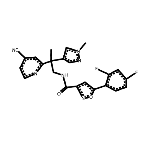 Cn1cc(C(C)(CNC(=O)c2cc(-c3ccc(F)cc3F)on2)c2cc(C#N)ccn2)cn1